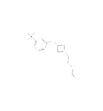 CCSCCN1CC(Nc2cc(C(C)(C)C)ncn2)C1